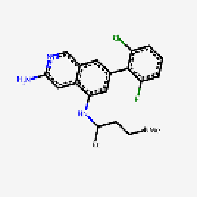 CCC(CCNC)Nc1cc(-c2c(F)cccc2Cl)cc2cnc(N)cc12